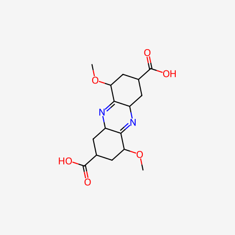 COC1CC(C(=O)O)CC2N=C3C(CC(C(=O)O)CC3OC)N=C21